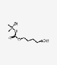 CCCCCCCCCCCCOC(=O)O[Si](C)(C)CC